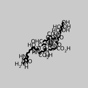 CC(CCC(=O)O)NC(CCC=O)C(=O)N[C@@H](CCC(=O)O)C(=O)N[C@@H](CCC(=O)NC[C@H](O)[C@@H](O)[C@H](O)[C@H](O)CO)C(=O)N[C@@H](CCCCNC(=O)CC[C@H](NC(=O)c1ccc(CCCc2cc3c(=O)[nH]c(N)nc3[nH]2)s1)C(=O)O)C(=O)O